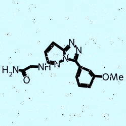 COc1cccc(-c2nnc3ccc(NCC(N)=O)nn23)c1